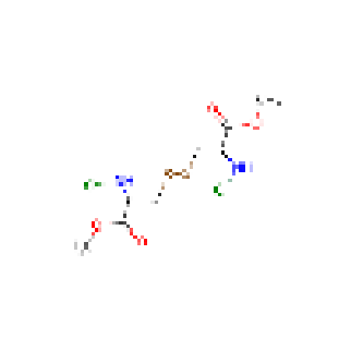 COC(=O)C(CSSCC(NCl)C(=O)OC)NCl